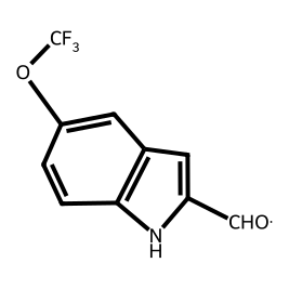 O=[C]c1cc2cc(OC(F)(F)F)ccc2[nH]1